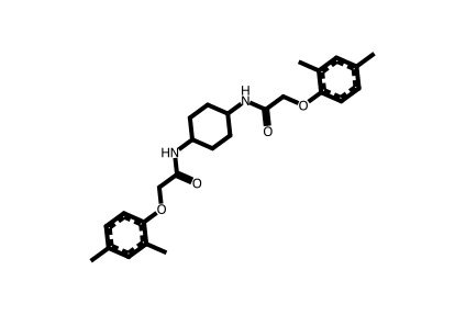 Cc1ccc(OCC(=O)NC2CCC(NC(=O)COc3ccc(C)cc3C)CC2)c(C)c1